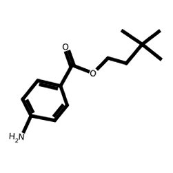 CC(C)(C)CCOC(=O)c1ccc(N)cc1